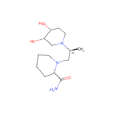 C[C@@H](CN1CC[CH]CC1C(N)=O)N1CCC(O)C(O)C1